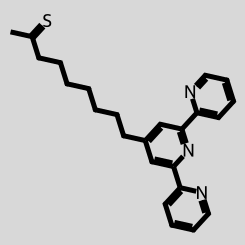 CC(=S)CCCCCCCc1cc(-c2ccccn2)nc(-c2ccccn2)c1